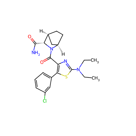 CCN(CC)c1nc(C(=O)N2[C@@H]3CC[C@@H](C3)[C@H]2C(N)=O)c(-c2cccc(Cl)c2)s1